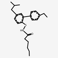 CCCCCC(=O)NSc1ccc(CC(C)C)cc1-c1ccc(CC)cc1